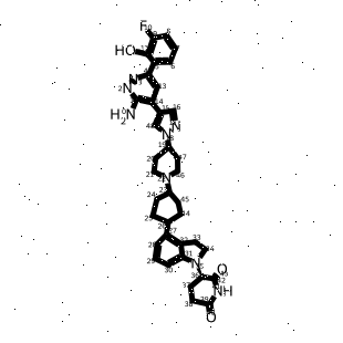 Nc1nnc(-c2cccc(F)c2O)cc1-c1cnn(C2CCN(C3CCC(c4cccc5c4CCN5[C@@H]4CCC(=O)NC4=O)CC3)CC2)c1